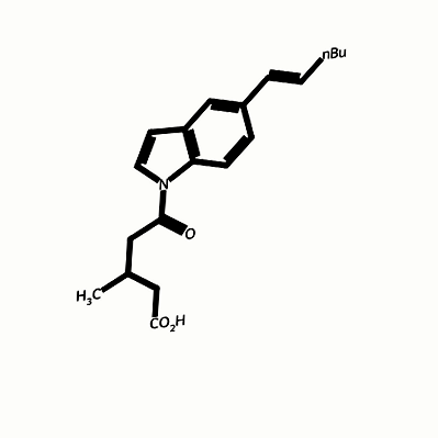 CCCCC=Cc1ccc2c(ccn2C(=O)CC(C)CC(=O)O)c1